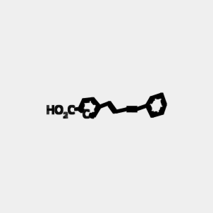 O=C(O)c1ccc(C=CC#Cc2ccccc2)cc1